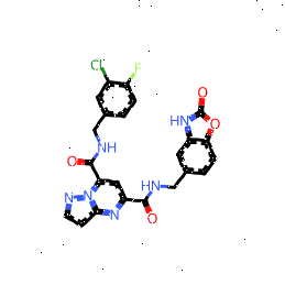 O=C(NCc1ccc2oc(=O)[nH]c2c1)c1cc(C(=O)NCc2ccc(F)c(Cl)c2)n2nccc2n1